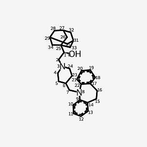 O[C@@H](CN1CCC(CN2c3ccccc3CCc3ccccc32)CC1)C12CC3CC(CC(C3)C1)C2